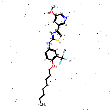 CCCCCCCCOc1ccc(Nc2nc(-c3cncc(OC)c3)cs2)cc1C(F)(F)F